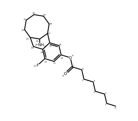 CCCCCCCC(=O)Oc1cc(F)c2c(c1)C1CCCCCC(C2)C1N